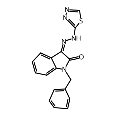 O=C1C(=NNc2nncs2)c2ccccc2N1Cc1ccccc1